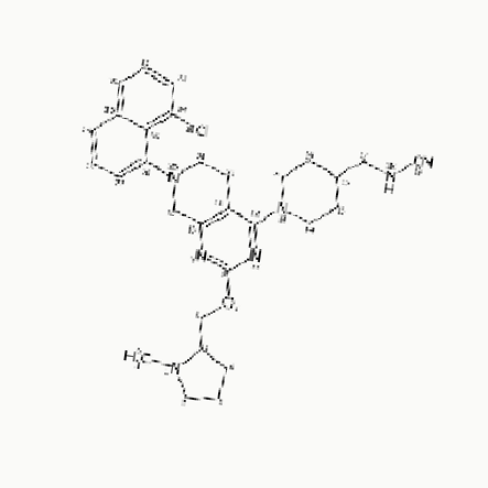 CN1CCCC1COc1nc2c(c(N3CCC(CNC#N)CC3)n1)CCN(c1cccc3cccc(Cl)c13)C2